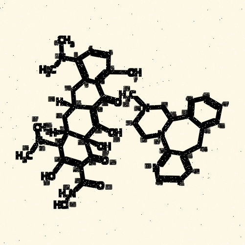 CN(C)c1ccc(O)c2c1C[C@H]1C[C@H]3[C@H](N(C)C)C(O)=C(C(N)=O)C(=O)[C@@]3(O)C(O)=C1C2=O.CN1CCN2c3ncccc3Cc3ccccc3C2C1.Cl